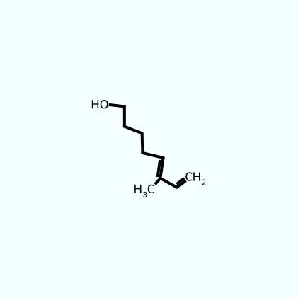 C=CC(C)=CCCCCO